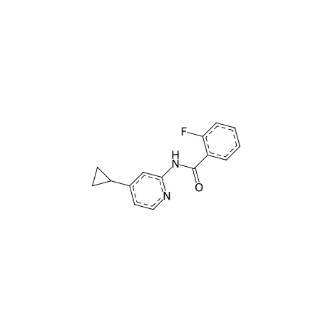 O=C(Nc1cc(C2CC2)ccn1)c1ccccc1F